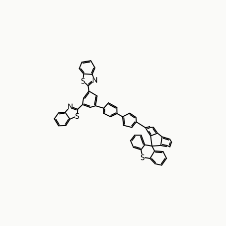 c1ccc2c(c1)Sc1ccccc1C21c2ccccc2-c2ccc(-c3ccc(-c4ccc(-c5cc(-c6nc7ccccc7s6)cc(-c6nc7ccccc7s6)c5)cc4)cc3)cc21